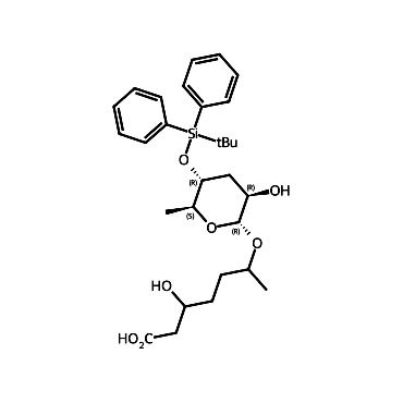 CC(CCC(O)CC(=O)O)O[C@@H]1O[C@@H](C)[C@H](O[Si](c2ccccc2)(c2ccccc2)C(C)(C)C)C[C@H]1O